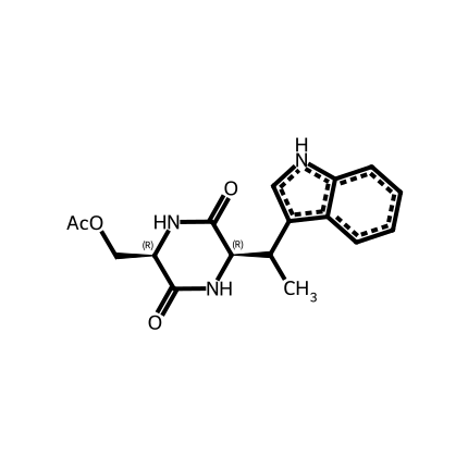 CC(=O)OC[C@H]1NC(=O)[C@@H](C(C)c2c[nH]c3ccccc23)NC1=O